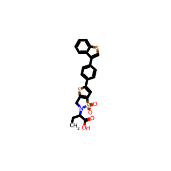 CCC(C(=O)O)N1Cc2sc(-c3ccc(-c4csc5ccccc45)cc3)cc2S1(=O)=O